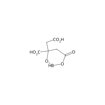 O=C(O)CC1(C(=O)O)CC(=O)OBO1